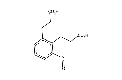 O=Pc1cccc(CCC(=O)O)c1CCC(=O)O